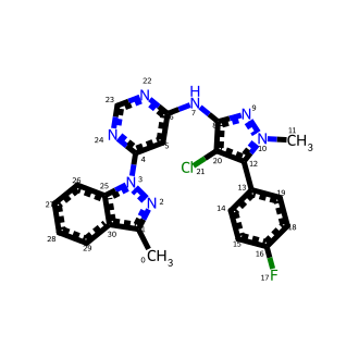 Cc1nn(-c2cc(Nc3nn(C)c(-c4ccc(F)cc4)c3Cl)ncn2)c2ccccc12